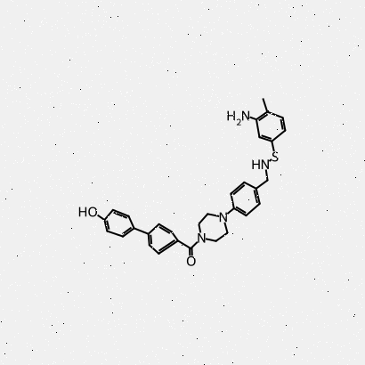 Cc1ccc(SNCc2ccc(N3CCN(C(=O)c4ccc(-c5ccc(O)cc5)cc4)CC3)cc2)cc1N